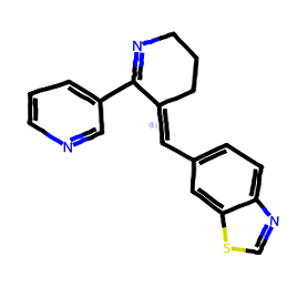 C(=C1/CCCN=C1c1cccnc1)/c1ccc2ncsc2c1